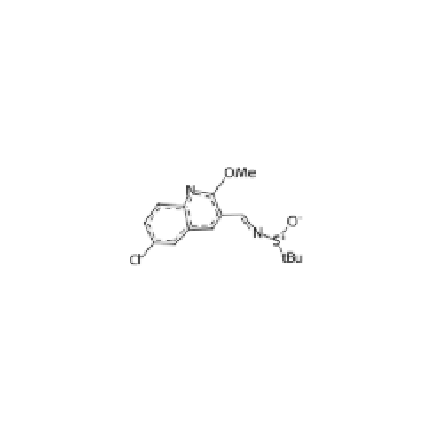 COc1nc2ccc(Cl)cc2cc1/C=N/[S+]([O-])C(C)(C)C